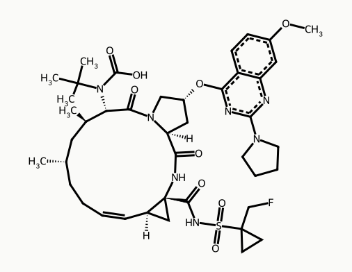 COc1ccc2c(O[C@@H]3C[C@H]4C(=O)N[C@]5(C(=O)NS(=O)(=O)C6(CF)CC6)C[C@H]5/C=C\CC[C@H](C)C[C@@H](C)[C@H](N(C(=O)O)C(C)(C)C)C(=O)N4C3)nc(N3CCCC3)nc2c1